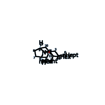 CCCCCCCC(CCCCC)CN1C[C@H]2CC[C@@H](C1)N2CC(CCCCCC)CCCCCC